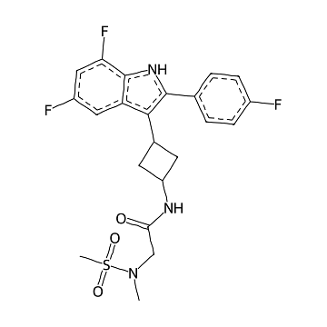 CN(CC(=O)NC1CC(c2c(-c3ccc(F)cc3)[nH]c3c(F)cc(F)cc23)C1)S(C)(=O)=O